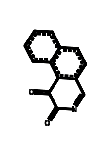 O=C1N=Cc2ccc3ccccc3c2C1=O